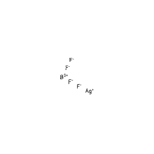 [Ag+].[B+3].[F-].[F-].[F-].[F-]